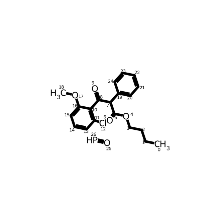 CCCCOC(=O)C(C(=O)c1c(Cl)cccc1OC)c1ccccc1.O=P